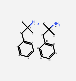 CC(C)(N)Cc1ccccc1.CC(C)(N)Cc1ccccc1